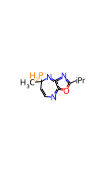 CC(C)c1nc2c(o1)=NC=CC(C)(P)N=2